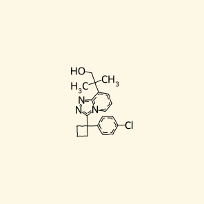 CC(C)(CO)c1cccn2c(C3(c4ccc(Cl)cc4)CCC3)nnc12